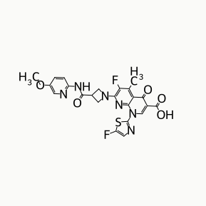 COc1ccc(NC(=O)C2CN(c3nc4c(c(C)c3F)c(=O)c(C(=O)O)cn4-c3ncc(F)s3)C2)nc1